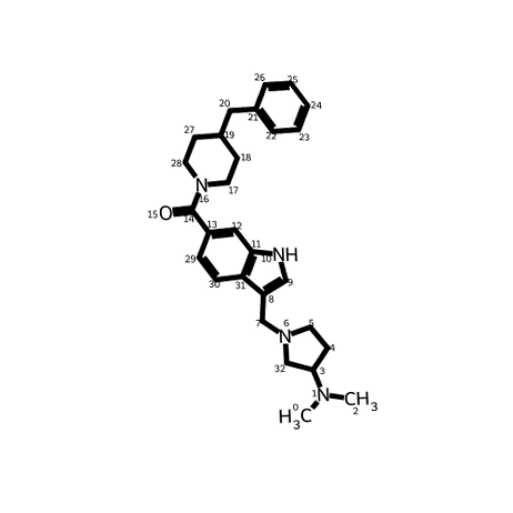 CN(C)C1CCN(Cc2c[nH]c3cc(C(=O)N4CCC(Cc5ccccc5)CC4)ccc23)C1